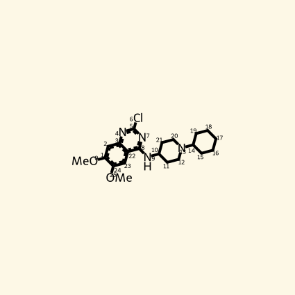 COc1cc2nc(Cl)nc(NC3CCN(C4CCCCC4)CC3)c2cc1OC